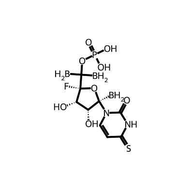 BC(B)(OP(=O)(O)O)[C@@]1(F)O[C@@](B)(n2ccc(=S)[nH]c2=O)[C@H](O)[C@@H]1O